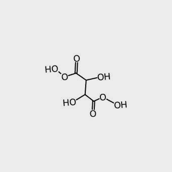 O=C(OO)C(O)C(O)C(=O)OO